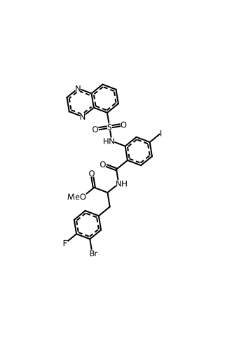 COC(=O)C(Cc1ccc(F)c(Br)c1)NC(=O)c1ccc(I)cc1NS(=O)(=O)c1cccc2nccnc12